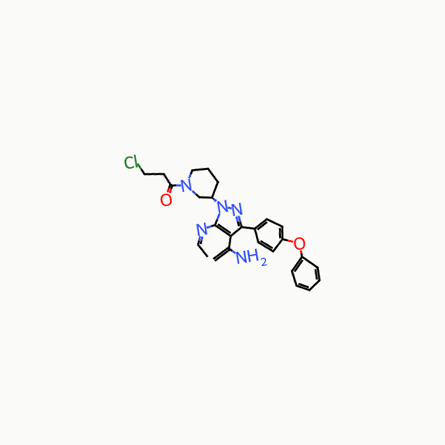 C=C(N)c1c(-c2ccc(Oc3ccccc3)cc2)nn([C@@H]2CCCN(C(=O)CCCl)C2)c1/N=C\C